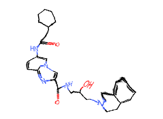 O=C(NCC(O)CN1CCc2ccccc2C1)c1cn2cc(NC(=O)C3CCCCC3)ccc2n1